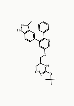 Cc1n[nH]c2ccc(-c3cc(OC[C@H](CO)NC(=O)OC(C)(C)C)cnc3-c3ccccc3)cc12